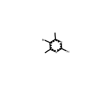 CC(=O)c1nc(C)c(Br)c(C)n1